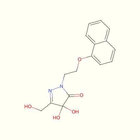 O=C1N(CCOc2cccc3ccccc23)N=C(CO)C1(O)O